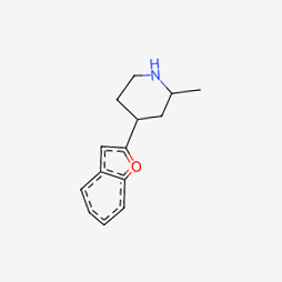 CC1CC(c2cc3ccccc3o2)CCN1